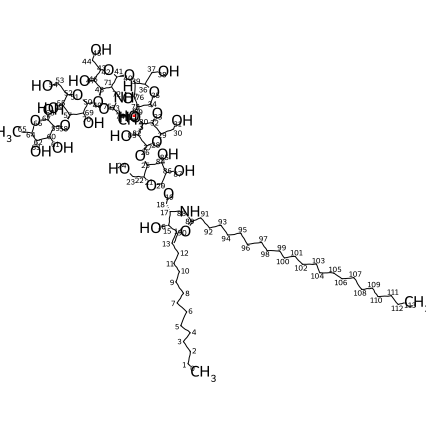 CCCCCCCCCCCCC/C=C/[C@@H](O)[C@H](CO[C@@H]1OC(CO)[C@@H](O[C@@H]2OC(CO)[C@H](O[C@@H]3OC(CO)[C@H](O[C@@H]4OC(CO)[C@H](O)[C@H](O[C@@H]5OC(CO)[C@H](O)[C@H](O[C@H]6C(O)[C@H](O)C(C)O[C@H]6O)C5O)C4NC(C)=O)[C@H](O)C3O)[C@H](O)C2O)[C@H](O)C1O)NC(=O)CCCCCCCCCCCCCCCCCCCCCCC